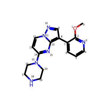 COc1ncccc1-c1cnn2ccc(N3CCNCC3)nc12